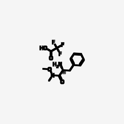 CON(C)C(=O)[C@@H](N)Cc1ccccc1.O=C(O)C(F)(F)F